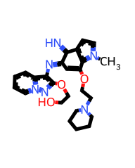 Cn1ccc2c1C(OCCN1CCCCC1)=CC(=Nc1c(OCCO)nn3ccccc13)C2=N